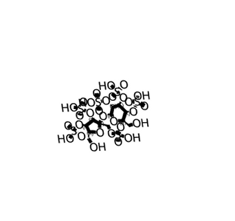 O=S(=O)(O)OC[C@@]1(O[C@H]2O[C@H](CO)[C@@H](OS(=O)(=O)O)[C@H](OS(=O)(=O)O)[C@H]2OS(=O)(=O)O)O[C@H](CO)[C@@H](OS(=O)(=O)O)[C@@H]1OS(=O)(=O)O